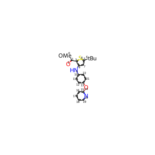 COC(=O)c1sc(C(C)(C)C)cc1Nc1ccc(Oc2ccccn2)cc1